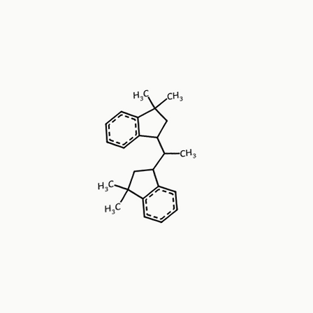 CC(C1CC(C)(C)c2ccccc21)C1CC(C)(C)c2ccccc21